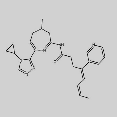 C/C=C\C=C(/CCC(=O)NC1=NC(c2nncn2C2CC2)=CCC(C)C1)c1cccnc1